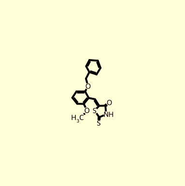 COc1cccc(OCc2ccccc2)c1C=C1SC(=S)NC1=O